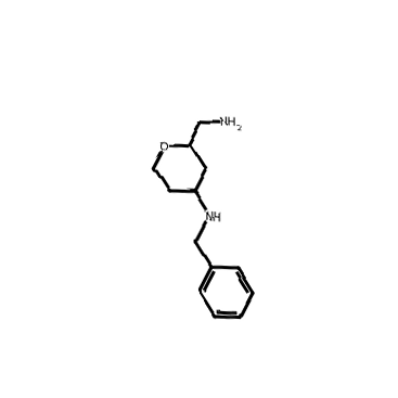 NCC1CC(NCc2ccccc2)CCO1